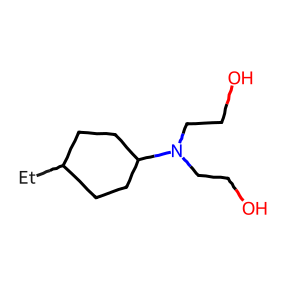 CCC1CCC(N(CCO)CCO)CC1